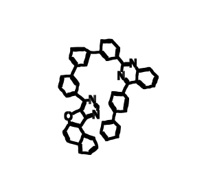 c1ccc(-c2ccc(-c3nc(-c4cccc(-c5cccc(-c6cccc(-c7ncnc8c7oc7ccc9ccccc9c78)c6)c5)c4)nc4ccccc34)cc2)cc1